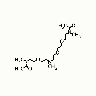 CC(=O)N(C)CCOCCOCCN(C)CCOCCN(C)C(C)=O